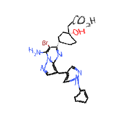 Nc1c(Br)c([C@H]2CC[C@](O)(CC(=O)O)CC2)nc2c(-c3cnn(-c4ccccc4)c3)cnn12